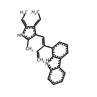 C=C/C(=C\c1c(C)[nH]c(=C/C)/c1=C\C)c1cccc2c1[nH]c1ccccc12